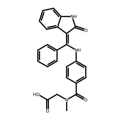 CN(CC(=O)O)C(=O)c1ccc(N/C(=C2\C(=O)Nc3ccccc32)c2ccccc2)cc1